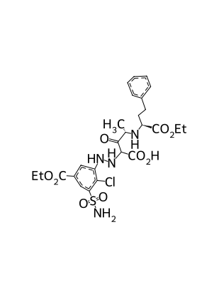 CCOC(=O)c1cc(NNC(C(=O)O)C(=O)[C@H](C)N[C@@H](CCc2ccccc2)C(=O)OCC)c(Cl)c(S(N)(=O)=O)c1